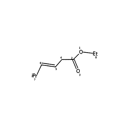 CCOC(=O)C/C=C/C(C)C